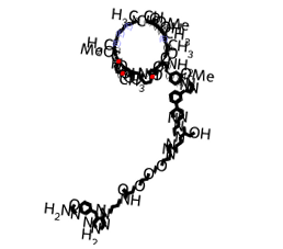 CO[C@H]1C[C@@H]2CC[C@@H](C)[C@@](O)(O2)C(=O)C(=O)N2CCCC[C@H]2C(=O)O[C@H]([C@H](N)C[C@@H]2CC[C@H](n3nncc3-c3cccc(-c4cnc(N5CCN(Cc6cn(CCOCCOCCOCCC(=O)NCCCCn7nc(-c8ccc9oc(N)nc9c8)c8c(N)ncnc87)nn6)C(CO)C5)nc4)c3)[C@H](OC)C2)CC(=O)[C@H](C)/C=C(\C)[C@@H](O)[C@@H](OC)C(=O)[C@H](C)C[C@H](C)/C=C/C=C/C=C/1C